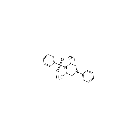 CC1CN(c2ccccc2)CC(C)N1S(=O)(=O)c1ccccc1